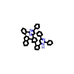 C1=C(c2ccccc2-c2ccc(-c3cc(-c4ccccc4)nc(-c4ccccc4)n3)c(-c3cccc4ccccc34)c2)NC(c2ccccc2)N=C1c1ccccc1